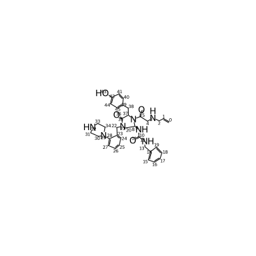 C=CCNCC(=O)N1C(NC(=O)NCc2ccccc2)CN(Cc2ccccc2N2CCNCC2)C(=O)C1Cc1ccc(O)cc1